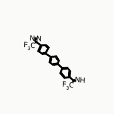 N=C(c1ccc(-c2ccc(-c3ccc(C4(C(F)(F)F)N=N4)cc3)cc2)cc1)C(F)(F)F